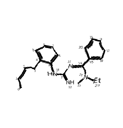 C/C=C\Cc1ccccc1NC(=N)/N=C(/c1ccccc1)N(C)CC